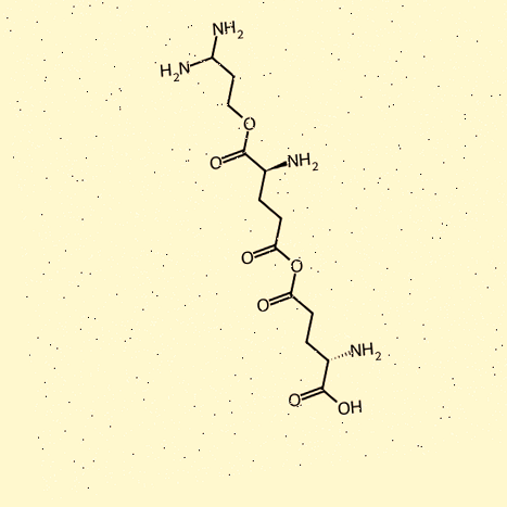 NC(N)CCOC(=O)[C@@H](N)CCC(=O)OC(=O)CC[C@H](N)C(=O)O